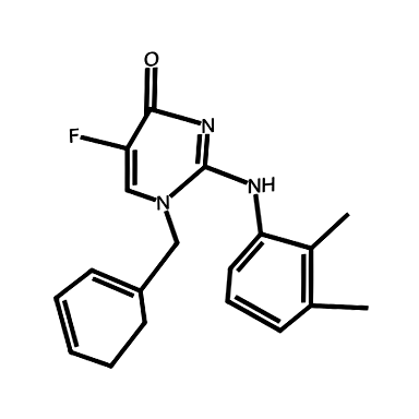 Cc1cccc(Nc2nc(=O)c(F)cn2CC2=CC=CCC2)c1C